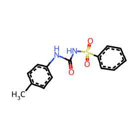 Cc1ccc(NC(=O)NS(=O)(=O)c2ccccc2)cc1